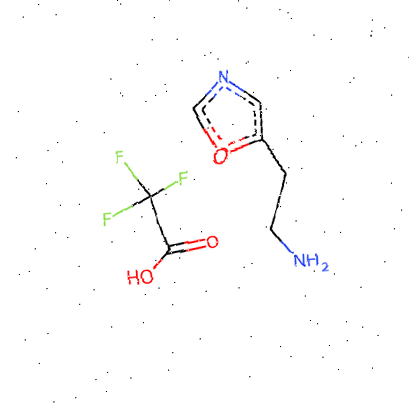 NCCc1cnco1.O=C(O)C(F)(F)F